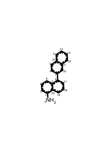 Nc1cccc2c(-c3ccc4ccccc4c3)cccc12